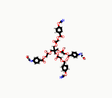 N#COc1ccc(C(=O)OCC(=O)OCC(COC(=O)COC(=O)c2ccc(N=C=O)cc2)(COC(=O)COC(=O)c2ccc(N=C=O)cc2)COC(=O)COC(=O)c2ccc(OC#N)cc2)cc1